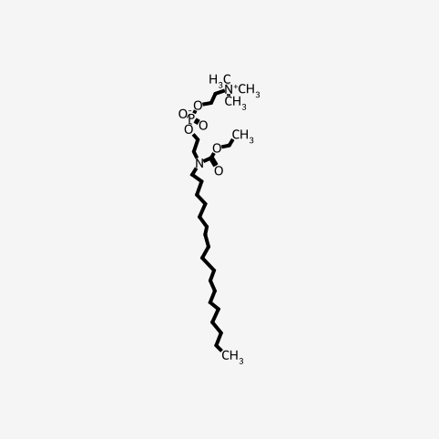 CCCCCCCCCCCCCCCCCCN(CCOP(=O)([O-])OCC[N+](C)(C)C)C(=O)OCC